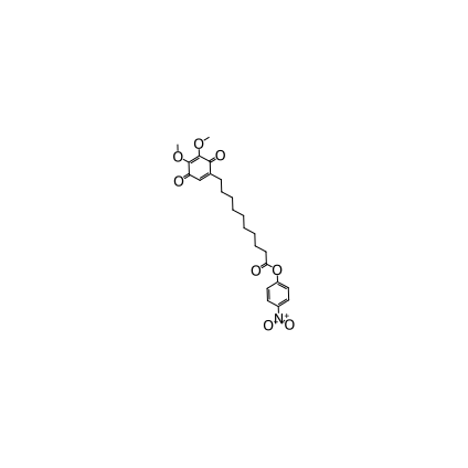 COC1=C(OC)C(=O)C(CCCCCCCCCC(=O)Oc2ccc([N+](=O)[O-])cc2)=CC1=O